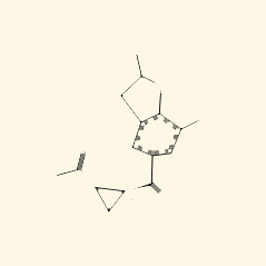 CC(=O)[C@H]1C[C@@H]1C(=O)c1cc(Cl)c2c(c1)CC(C)O2